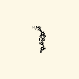 CN1C(=O)[C@H](NC(=O)n2cc(Cc3ccc(F)cc3F)cn2)COc2ccc(C#CC(C)(C)CN)cc21